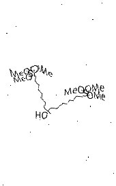 CO[Si](CCCCCCCCC(C)(O)CCCCCCCC[Si](OC)(OC)OC)(OC)OC